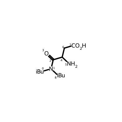 CCC(C)N(C(=O)C(N)CC(=O)O)C(C)CC